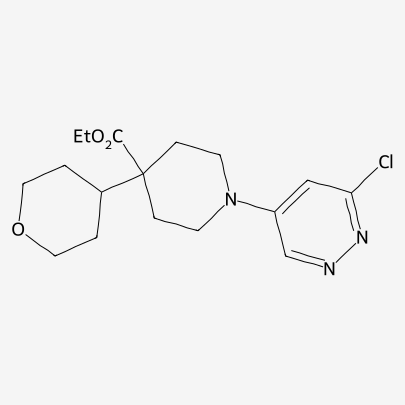 CCOC(=O)C1(C2CCOCC2)CCN(c2cnnc(Cl)c2)CC1